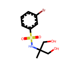 CC(CO)(CO)NS(=O)(=O)c1cccc(Br)c1